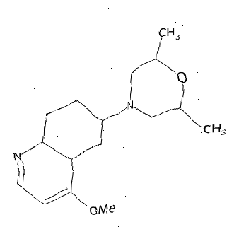 COC1=CC=NC2CCC(N3CC(C)OC(C)C3)CC12